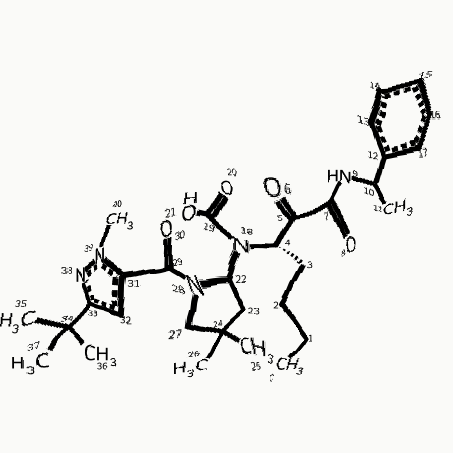 CCCC[C@@H](C(=O)C(=O)NC(C)c1ccccc1)N(C(=O)O)C1CC(C)(C)CN1C(=O)c1cc(C(C)(C)C)nn1C